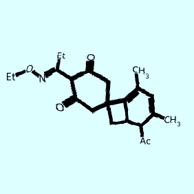 CCON=C(CC)C1C(=O)CC2(CC1=O)CC1C2=C(C)C=C(C)C1C(C)=O